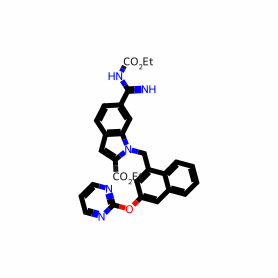 CCOC(=O)NC(=N)c1ccc2cc(C(=O)OCC)n(Cc3cc(Oc4ncccn4)cc4ccccc34)c2c1